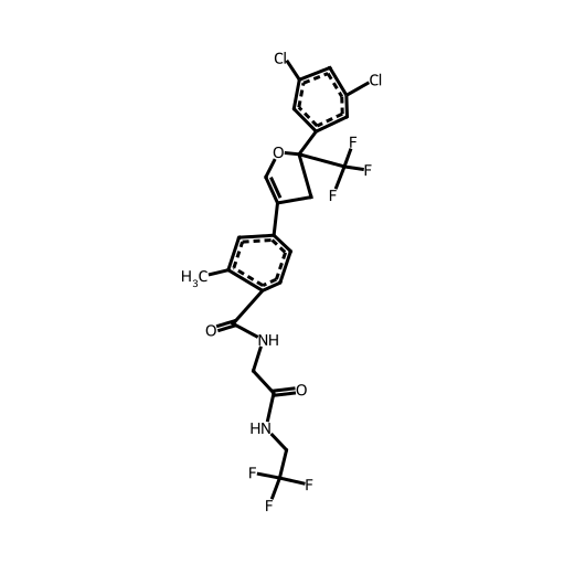 Cc1cc(C2=COC(c3cc(Cl)cc(Cl)c3)(C(F)(F)F)C2)ccc1C(=O)NCC(=O)NCC(F)(F)F